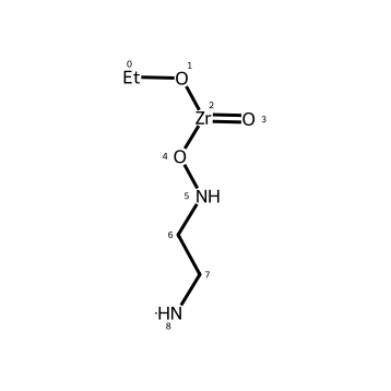 CC[O][Zr](=[O])[O]NCC[NH]